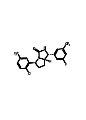 O=C1N[C@H](c2cc(F)cc(C(F)(F)F)c2)[C@@H]2CC[C@@H](c3cc(C(F)(F)F)ccc3Cl)N12